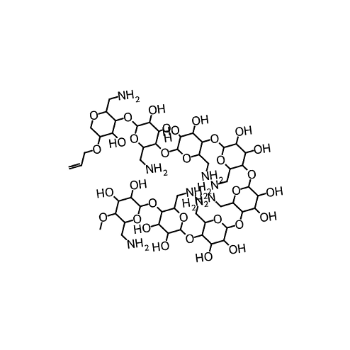 C=CCOC1COC(CN)C(OC2OC(CN)C(OC3OC(CN)C(OC4OC(CN)C(OC5OC(CN)C(OC6OC(CN)C(OC7OC(CN)C(OC8OC(CN)C(OC)C(O)C8O)C(O)C7O)C(O)C6O)C(O)C5O)C(O)C4O)C(O)C3O)C(O)C2O)C1O